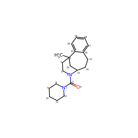 CC12CCN(C(=O)N3CCCCC3)C(CCc3ccccc31)C2